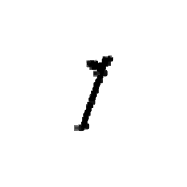 CSc1ncc(-c2cc(C(=O)NCCOCCOCCOCCOCCOCCOCCOCCOCCC(=O)O)cc(-c3cnc(SC)nc3)c2)cn1